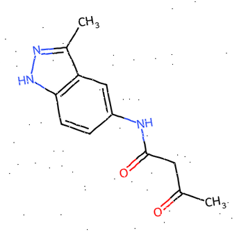 CC(=O)CC(=O)Nc1ccc2[nH]nc(C)c2c1